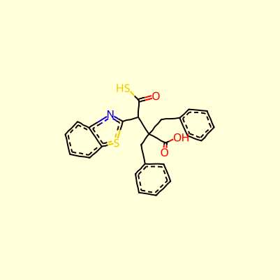 O=C(S)C(c1nc2ccccc2s1)C(Cc1ccccc1)(Cc1ccccc1)C(=O)O